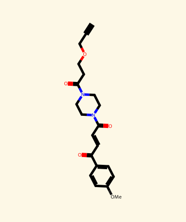 C#CCOCCC(=O)N1CCN(C(=O)/C=C/C(=O)c2ccc(OC)cc2)CC1